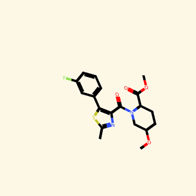 COC(=O)C1CCC(OC)CN1C(=O)c1nc(C)sc1-c1cccc(F)c1